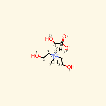 C[N+](C)(CCO)CCO.O=C([O-])CO